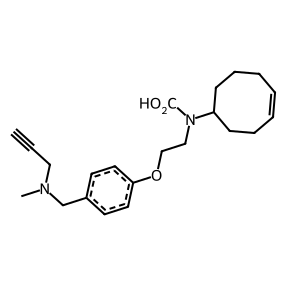 C#CCN(C)Cc1ccc(OCCN(C(=O)O)C2CCC=CCCC2)cc1